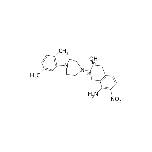 Cc1ccc(C)c(N2CCN([C@H]3Cc4c(ccc([N+](=O)[O-])c4N)C[C@@H]3O)CC2)c1